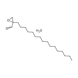 CCCCCCCCCCCCCCCCC1(C=O)CO1.O